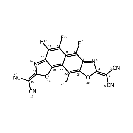 N#CC(C#N)=c1nc2c(F)c3c(F)c(F)c4nc(=C(C#N)C#N)oc4c3c(F)c2o1